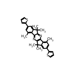 Cc1cc(-c2cccs2)cc2c1-c1nc3c(nc1C2(C)C)-c1c(C)cc(-c2cccs2)cc1C3(C)C